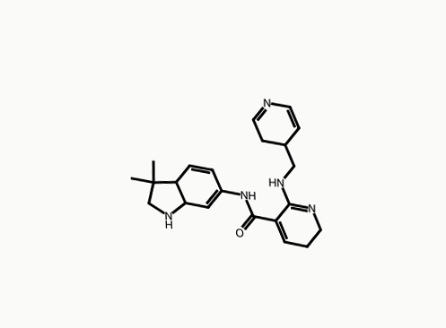 CC1(C)CNC2C=C(NC(=O)C3=CCCN=C3NCC3C=CN=CC3)C=CC21